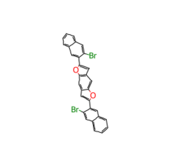 Brc1cc2ccccc2cc1-c1cc2cc3oc(-c4cc5ccccc5cc4Br)cc3cc2o1